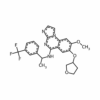 COc1cc2c(cc1OC1CCOC1)c(NC(C)c1cccc(C(F)(F)F)c1)nc1nccn12